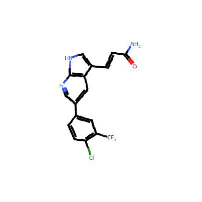 NC(=O)C=Cc1c[nH]c2ncc(-c3ccc(Cl)c(C(F)(F)F)c3)cc12